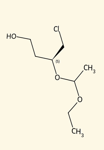 CCOC(C)O[C@H](CCl)CCO